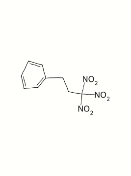 O=[N+]([O-])C(CCc1ccccc1)([N+](=O)[O-])[N+](=O)[O-]